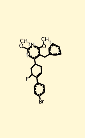 COc1nc(OC)c(Cc2ccccc2)c(C2CC=C(c3ccc(Br)cc3)C(F)C2)n1